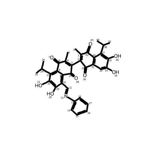 CC1=C(C2=C(C)C(=O)c3c(c(/C=N/c4ccccc4)c(O)c(O)c3C(C)C)C2=O)C(=O)c2cc(O)c(O)c(C(C)C)c2C1=O